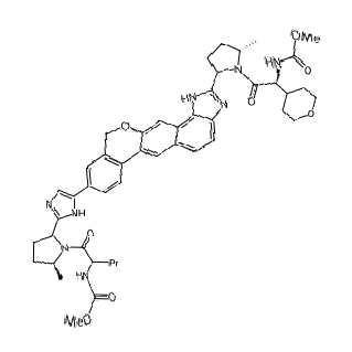 COC(=O)NC(C(=O)N1C(c2ncc(-c3ccc4c(c3)COc3cc5c(ccc6nc(C7CC[C@H](C)N7C(=O)[C@@H](NC(=O)OC)C7CCOCC7)[nH]c65)cc3-4)[nH]2)CC[C@@H]1C)C(C)C